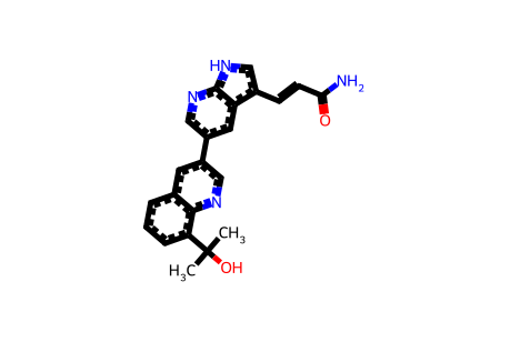 CC(C)(O)c1cccc2cc(-c3cnc4[nH]cc(C=CC(N)=O)c4c3)cnc12